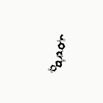 C=CC(=O)Nc1ccc(Sc2ccnc(Nc3ccc(N4CCS(=O)(=O)CC4)cc3)n2)cc1